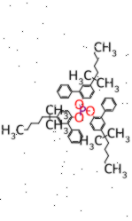 CCCCCC(C)(C)c1ccc(OP(Oc2ccc(C(C)(C)CCCCC)cc2-c2ccccc2)Oc2ccc(C(C)(C)CCCCC)cc2-c2ccccc2)c(-c2ccccc2)c1